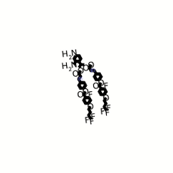 Nc1ccc(C(COC(=O)/C=C/c2ccc(OC(=O)c3ccc(OCCCC(F)(F)F)cc3F)cc2)COC(=O)/C=C/c2ccc(OC(=O)c3ccc(OCCCC(F)(F)F)cc3F)cc2)c(N)c1